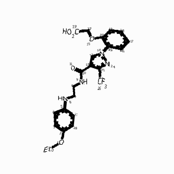 CCOc1ccc(NCCNC(=O)c2cn(-c3ccccc3OCC(=O)O)nc2C(F)(F)F)cc1